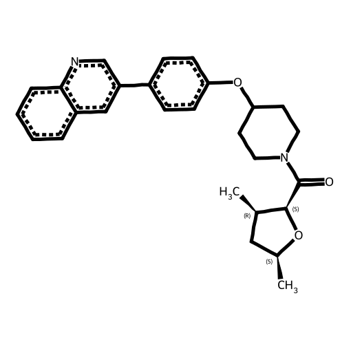 C[C@@H]1C[C@H](C)O[C@@H]1C(=O)N1CCC(Oc2ccc(-c3cnc4ccccc4c3)cc2)CC1